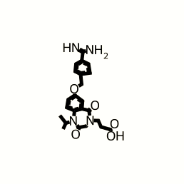 CC(C)N1C(=O)CN(CCC(=O)O)C(=O)c2cc(OCc3ccc(C(=N)N)cc3)ccc21